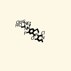 CCN(C=O)/C(CO)=N\N(C)c1cc2c(cc1F)C(=O)N(c1c(C)cc(C)nc1Cl)CC2